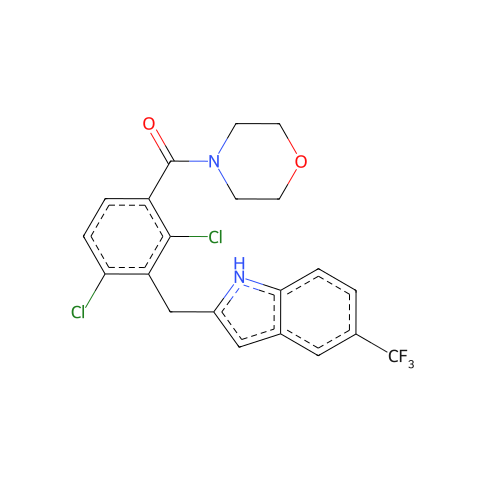 O=C(c1ccc(Cl)c(Cc2cc3cc(C(F)(F)F)ccc3[nH]2)c1Cl)N1CCOCC1